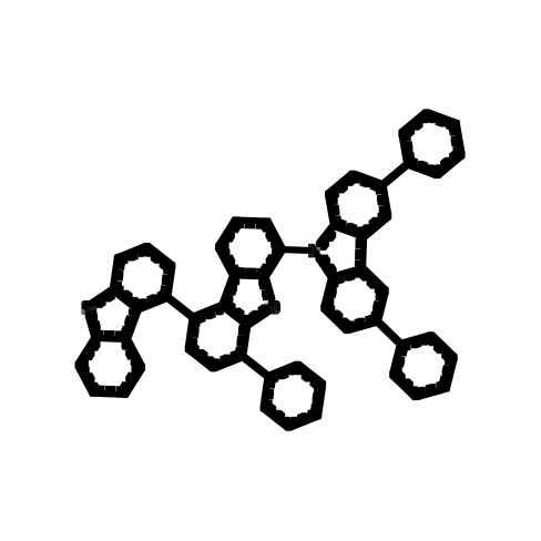 c1ccc(-c2ccc3c(c2)c2cc(-c4ccccc4)ccc2n3-c2cccc3c2oc2c(-c4ccccc4)ccc(-c4cccc5sc6ccccc6c45)c23)cc1